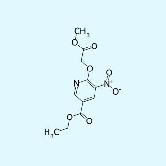 CCOC(=O)c1cnc(OCC(=O)OC)c([N+](=O)[O-])c1